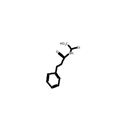 CCC(NC(=O)CCc1ccccc1)C(=O)O